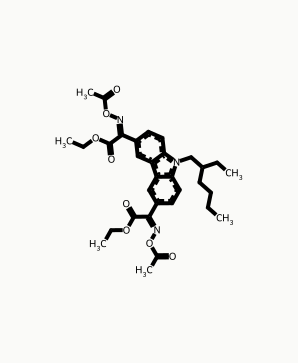 CCCCC(CC)Cn1c2ccc(/C(=N/OC(C)=O)C(=O)OCC)cc2c2cc(/C(=N/OC(C)=O)C(=O)OCC)ccc21